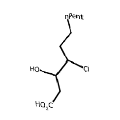 CCCCCCCC(Cl)C(O)CC(=O)O